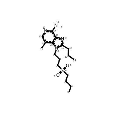 CCCCS(=O)(=O)CCCn1c(CCC)nc2c(N)ncc(C)c21